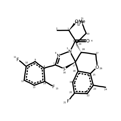 CO[C@H](C)C(=O)N1N=C(c2cc(F)ccc2F)S[C@@]12c1cc(F)cc(C)c1OC[C@H]2CCN